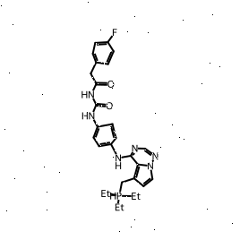 CC[PH](CC)(CC)Cc1ccn2ncnc(Nc3ccc(NC(=O)NC(=O)Cc4ccc(F)cc4)cc3)c12